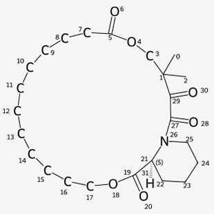 CC1(C)COC(=O)CCCCCCCCCCCOC(=O)[C@@H]2CCCCN2C(=O)C1=O